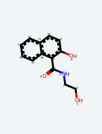 O=C(NCCO)c1c(O)ccc2ccccc12